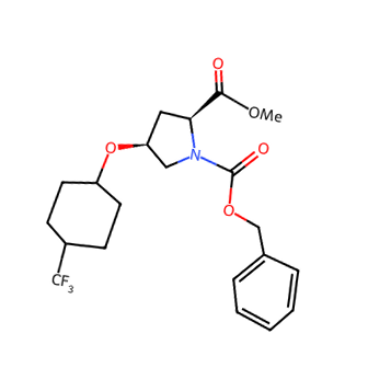 COC(=O)[C@@H]1C[C@H](OC2CCC(C(F)(F)F)CC2)CN1C(=O)OCc1ccccc1